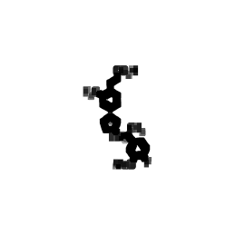 COc1cc([C@@H](C)NC2CC[C@H](c3ccc(CCC(=O)O)c(C(F)(F)F)c3)C2)ccc1F